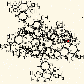 Cc1cc2c3c(c1)N(c1ccc4c(c1)C(C)(C)CCC4(C)C)c1sc4cc5c(cc4c1B3c1cc3c(cc1N2c1ccc(-c2ccccc2)cc1)C(C)(C)CCC3(C)C)C(C)(CCC(C)(C)c1cc2c3c(c1)N(c1ccc4c(c1)C(C)(C)CCC4(C)C)c1sc4cc6c(cc4c1B3c1cc3c(cc1N2c1cc(C(C)(C)C)cc(C(C)(C)C)c1)C(C)(C)CCC3(C)C)C(C)(C)CCC6(C)C)CCC5(C)C